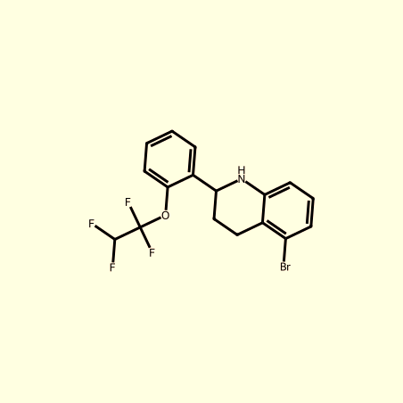 FC(F)C(F)(F)Oc1ccccc1C1CCc2c(Br)cccc2N1